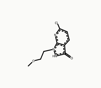 COCCn1[nH]c(=O)c2ccc(Cl)nc21